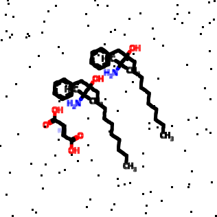 CCCCCCCCCCC(O)(Cc1ccccc1)C(C)(C)N.CCCCCCCCCCC(O)(Cc1ccccc1)C(C)(C)N.O=C(O)/C=C/C(=O)O